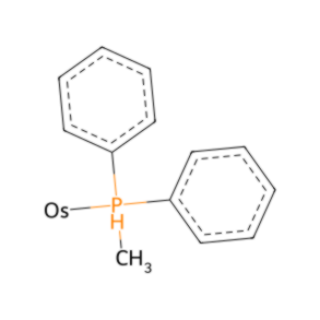 C[PH]([Os])(c1ccccc1)c1ccccc1